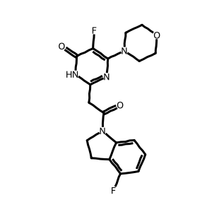 O=C(Cc1nc(N2CCOCC2)c(F)c(=O)[nH]1)N1CCc2c(F)cccc21